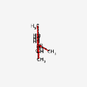 CCCCCCCCCCCCNC(=O)CCNCCCNCCCCN(CCCNCCC(=O)NCCCCCCCCCC)CCC(=O)NCCCCCCCCCCCC